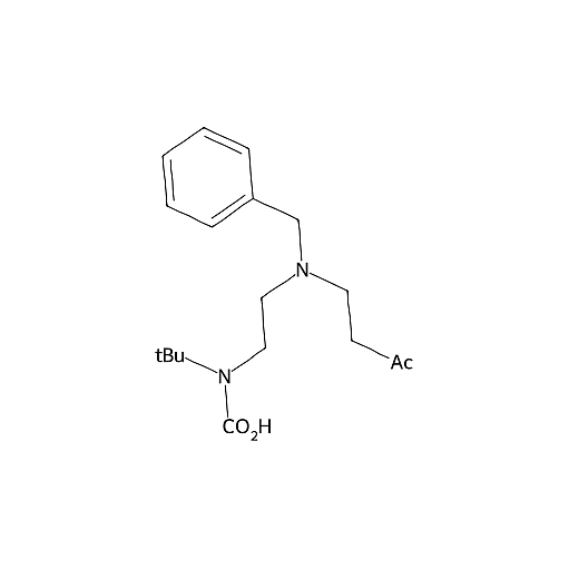 CC(=O)CCN(CCN(C(=O)O)C(C)(C)C)Cc1ccccc1